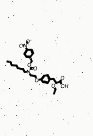 CCCCCCCN(CCOc1ccc(CC(OCC)C(=O)O)cc1)C(=O)OCc1ccc([N+](=O)[O-])cc1